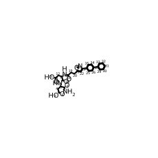 NC(=O)C(CC(=O)O)NC(=O)C(CC(=O)O)NC(=O)CCc1cc(-c2ccc(-c3ccccc3)cc2)no1